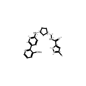 COc1cccnc1-c1ccc(N[C@@H]2CC[C@H](CNC(=O)c3cc(C)no3)C2)nc1